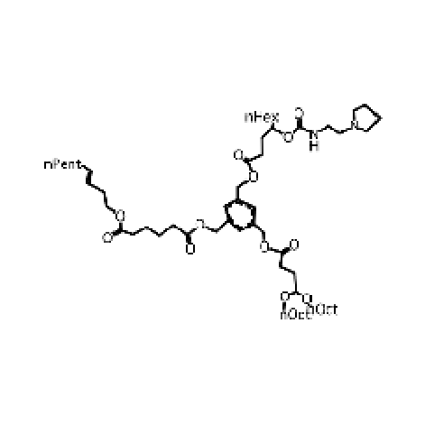 CCCCCC=CCCOC(=O)CCCCC(=O)OCc1cc(COC(=O)CCC(CCCCCC)OC(=O)NCCN2CCCC2)cc(COC(=O)CCC(OCCCCCCCC)OCCCCCCCC)c1